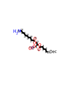 CCCCCCCCCCCCCCC(=O)O[C@@H](COP=O)COC(=O)CCCCCCCCN